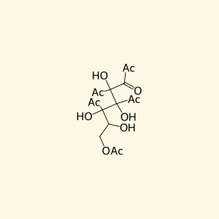 CC(=O)OCC(O)C(O)(C(C)=O)C(O)(C(C)=O)C(O)(C(C)=O)C(=O)C(C)=O